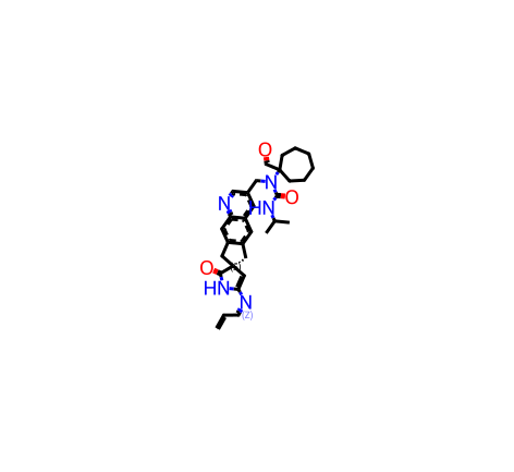 C=C/C=N\C1=C[C@@]2(Cc3cc4cc(CN(C(=O)NC(C)C)C5(C=O)CCCCCC5)cnc4cc3C2)C(=O)N1